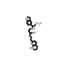 N=C(/C=C\NC(CC(=O)O)c1ccc2c(c1)CCO2)CCCc1ccc2c(n1)NCCC2